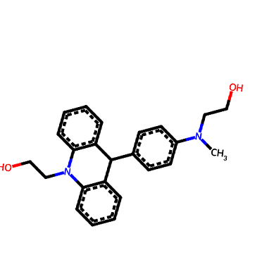 CN(CCO)c1ccc(C2c3ccccc3N(CCO)c3ccccc32)cc1